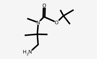 CN(C(=O)OC(C)(C)C)C(C)(C)CN